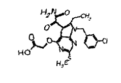 CCc1c(C(=O)C(N)=O)c2c(OCC(=O)O)nc(SC)nc2n1Cc1cccc(Cl)c1